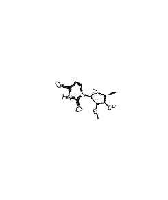 COC1C(O)[C@H](C)O[C@@H]1n1ccc(=O)[nH]c1=O